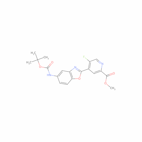 COC(=O)c1cc(-c2nc3cc(NC(=O)OC(C)(C)C)ccc3o2)c(F)cn1